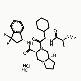 CN[C@@H](C)C(=O)N[C@H](C(=O)N1C[C@H]2CCCN2C[C@H]1C(=O)N[C@@H]1CC(F)(F)c2ccccc21)C1CCCCC1.Cl.Cl